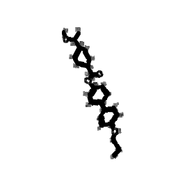 CCCOc1ccc(-c2ccc(OC(=O)c3ccc(C(C)OC)cc3)cc2)cc1